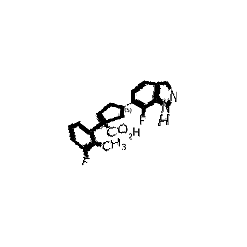 Cc1c(F)cccc1[C@]1(C(=O)O)CC[C@H](c2ccc3cn[nH]c3c2F)C1